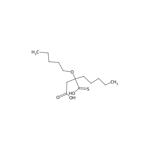 CCCCCOC(CCCCC)(CC(=O)O)C(O)=S